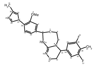 COc1cc(C2CCCN3C(=NOCC3c3cc(F)c(C)c(F)c3)N2)ccc1-n1cnc(C)c1